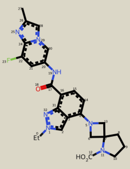 CCn1cc2c(N3CC4(CCCN4C(=O)O)C3)ccc(C(=O)Nc3cc(F)c4nc(C)cn4c3)c2n1